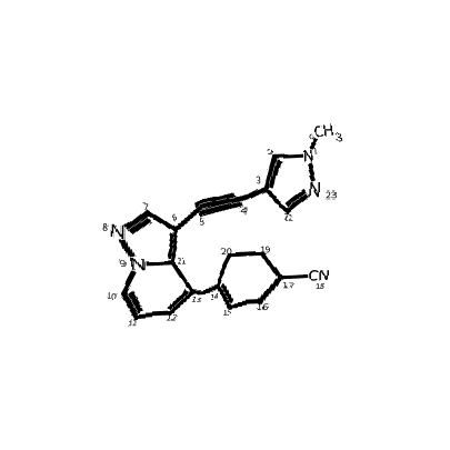 Cn1cc(C#Cc2cnn3cccc(C4=CCC(C#N)CC4)c23)cn1